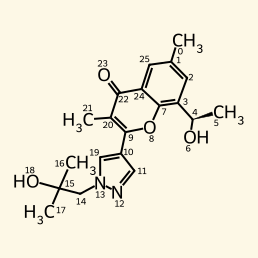 Cc1cc([C@@H](C)O)c2oc(-c3cnn(CC(C)(C)O)c3)c(C)c(=O)c2c1